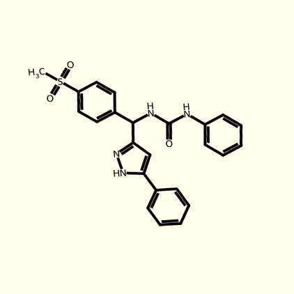 CS(=O)(=O)c1ccc(C(NC(=O)Nc2ccccc2)c2cc(-c3ccccc3)[nH]n2)cc1